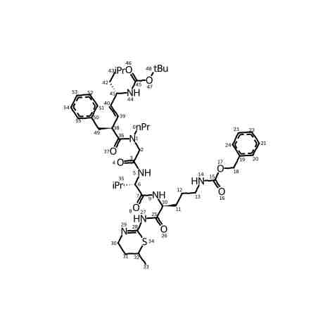 CCCN(CC(=O)N[C@H](C(=O)N[C@@H](CCCNC(=O)OCc1ccccc1)C(=O)NC1=NCCC(C)S1)C(C)C)C(=O)[C@H](/C=C/[C@H](CC(C)C)NC(=O)OC(C)(C)C)Cc1ccccc1